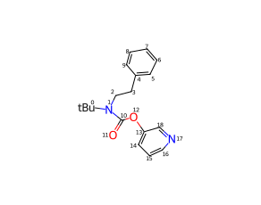 CC(C)(C)N(CCc1ccccc1)C(=O)Oc1cccnc1